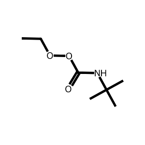 CCOOC(=O)NC(C)(C)C